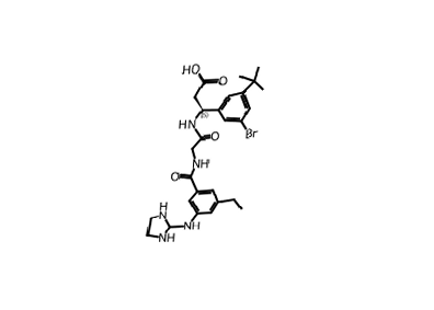 CCc1cc(NC2NCCN2)cc(C(=O)NCC(=O)N[C@@H](CC(=O)O)c2cc(Br)cc(C(C)(C)C)c2)c1